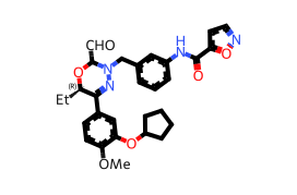 CC[C@H]1OC(C=O)N(Cc2cccc(NC(=O)c3ccno3)c2)N=C1c1ccc(OC)c(OC2CCCC2)c1